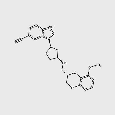 COc1cccc2c1O[C@@H](CN[C@H]1CC[C@@H](c3c[nH]c4ccc(C#N)cc34)C1)CO2